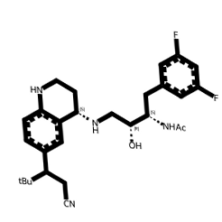 CC(=O)N[C@@H](Cc1cc(F)cc(F)c1)[C@H](O)CN[C@H]1CCNc2ccc(C(CC#N)C(C)(C)C)cc21